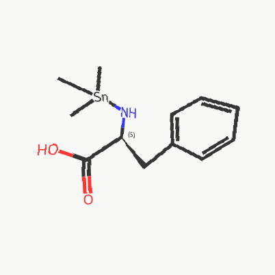 [CH3][Sn]([CH3])([CH3])[NH][C@@H](Cc1ccccc1)C(=O)O